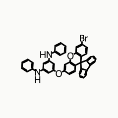 Brc1ccc2c(c1)Oc1cc(Oc3cc(Nc4ccccc4)cc(Nc4ccccc4)c3)ccc1C21c2ccccc2-c2ccccc21